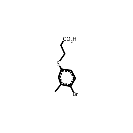 Cc1cc(SCCC(=O)O)ccc1Br